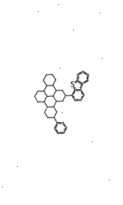 c1ccc(C2CCC3C(C2)C2CC(c4cccc5c4sc4ccccc45)CC4C5CCCCC5C5CCCC3C5C42)cc1